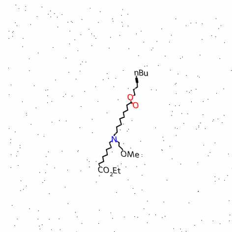 CCCCC#CCCCOC(=O)CCCCCCCCCN(CCCCCCCC(=O)OCC)CCCOC